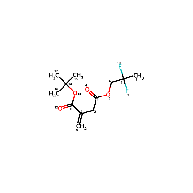 C=C(CC(=O)OCC(C)(F)F)C(=O)OC(C)(C)C